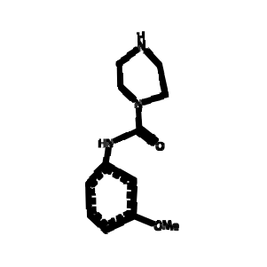 COc1cccc(NC(=O)N2CCNCC2)c1